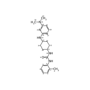 Cc1ccccc1NC(=O)NC1CCC(Nc2nccc(N(C)C)n2)CC1